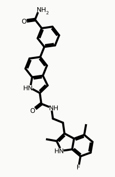 Cc1[nH]c2c(F)ccc(C)c2c1CCNC(=O)c1cc2cc(-c3cccc(C(N)=O)c3)ccc2[nH]1